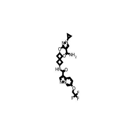 NC(=O)c1cn(C2CC2)nc1O[C@H]1CC2(C[C@H](NC(=O)c3cnn4cc(OCC(F)(F)F)ccc34)C2)C1